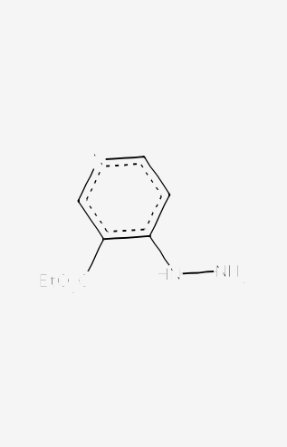 CCOC(=O)c1cnccc1NN